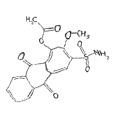 COc1c(S(N)(=O)=O)cc2c(c1OC(C)=O)C(=O)c1ccccc1C2=O